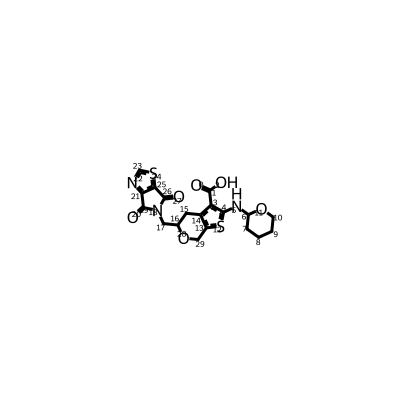 O=C(O)c1c(NC2CCCCO2)sc2c1CC(CN1C(=O)c3ncsc3C1=O)OC2